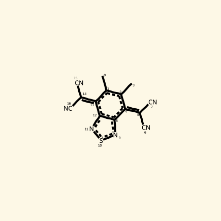 Cc1c(C)c(=C(C#N)C#N)c2nsnc2c1=C(C#N)C#N